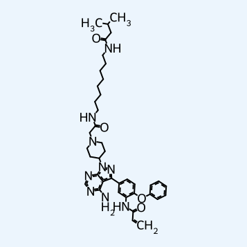 C=CC(=O)Nc1cc(-c2nn(C3CCN(CC(=O)NCCCCCCCCNC(=O)CC(C)C)CC3)c3ncnc(N)c23)ccc1Oc1ccccc1